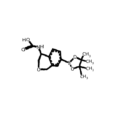 CC1(C)OB(c2ccc3c(c2)COCC3NC(=O)O)OC1(C)C